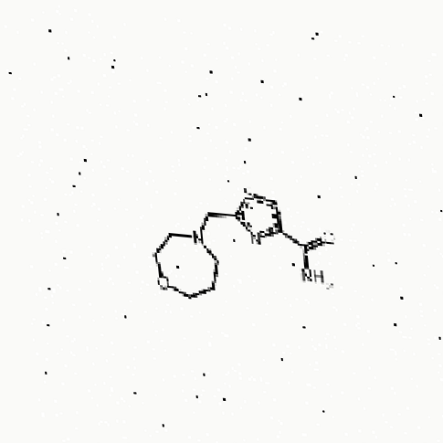 NC(=O)c1csc(CN2CCCOCC2)n1